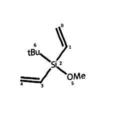 C=C[Si](C=C)(OC)C(C)(C)C